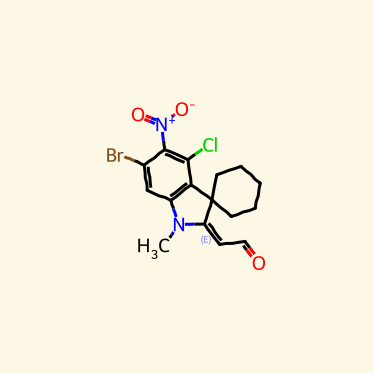 CN1/C(=C/C=O)C2(CCCCC2)c2c1cc(Br)c([N+](=O)[O-])c2Cl